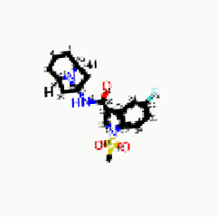 CN1[C@@H]2CCC[C@H]1C[C@@H](NC(=O)c1cn(S(C)(=O)=O)c3ccc(F)cc13)C2